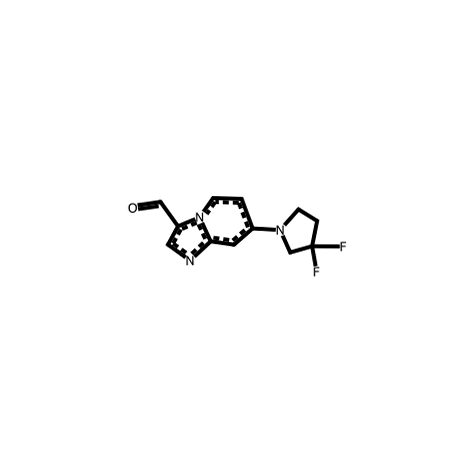 O=Cc1cnc2cc(N3CCC(F)(F)C3)ccn12